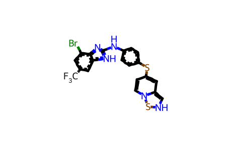 FC(F)(F)c1cc(Br)c2nc(Nc3ccc(SC4=CC5=CNSN5C=C4)cc3)[nH]c2c1